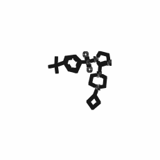 CC(C)(C)c1ccc(S(=O)(=O)N2CCN=C2N2CCN(C3CCC3)CC2)cc1